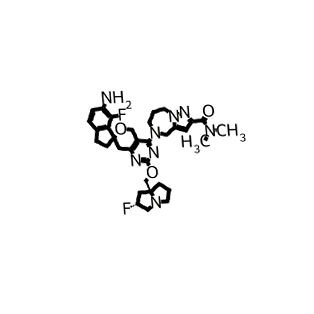 CN(C)C(=O)c1cc2n(n1)CCCN(c1nc(OC[C@@]34CCCN3C[C@H](F)C4)nc3c1COC1(CCc4ccc(N)c(F)c41)C3)C2